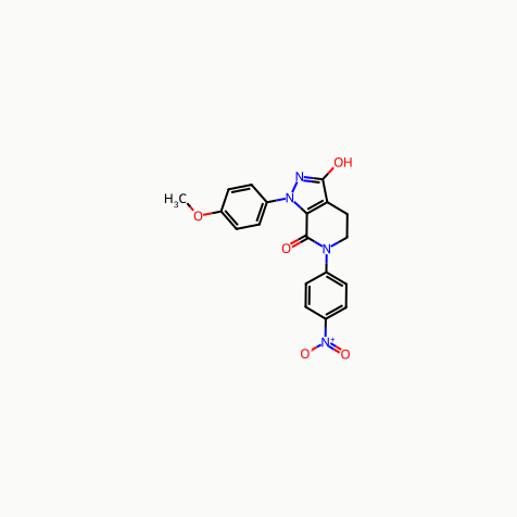 COc1ccc(-n2nc(O)c3c2C(=O)N(c2ccc([N+](=O)[O-])cc2)CC3)cc1